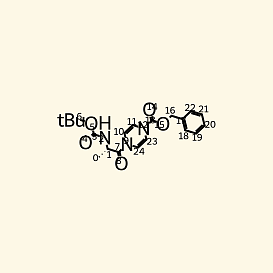 C[C@H](NC(=O)OC(C)(C)C)C(=O)N1C=CN(C(=O)OCc2ccccc2)C=C1